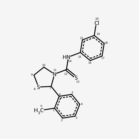 Cc1ccccc1C1SCCN1C(=S)Nc1cccc(Cl)c1